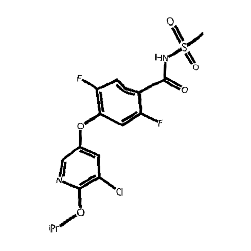 CC(C)Oc1ncc(Oc2cc(F)c(C(=O)NS(C)(=O)=O)cc2F)cc1Cl